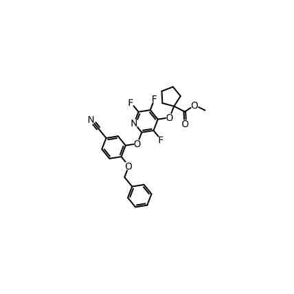 COC(=O)C1(Oc2c(F)c(F)nc(Oc3cc(C#N)ccc3OCc3ccccc3)c2F)CCCC1